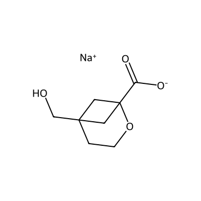 O=C([O-])C12CC(CO)(CCO1)C2.[Na+]